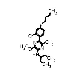 C=CCCOc1ccc(-c2nc(OC)c(NC(CC)CC)nc2C)c(Cl)c1